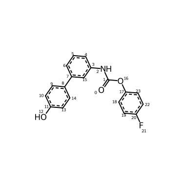 O=C(Nc1cccc(-c2ccc(O)cc2)c1)Oc1ccc(F)cc1